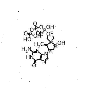 C=C1[C@@H](n2cnc3c(=O)[nH]c(N)nc32)C[C@H](O)[C@@]1(CF)COP(=O)(O)OP(=O)(O)OP(=O)(O)O